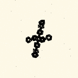 c1ccc2sc(-c3ccc(-c4c5ccc(N6CCCCC6)cc5c(-c5ccc(-c6nc7ccccc7s6)cc5)c5ccc(N6CCCCC6)cc45)cc3)nc2c1